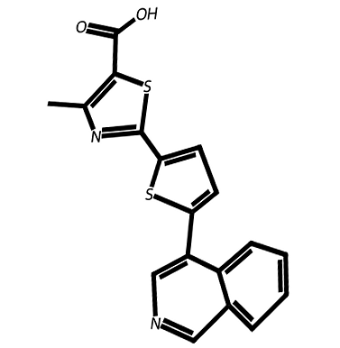 Cc1nc(-c2ccc(-c3cncc4ccccc34)s2)sc1C(=O)O